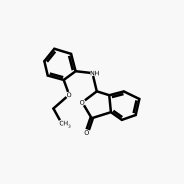 CCOc1ccccc1NC1OC(=O)c2ccccc21